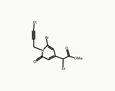 CCC#CCn1c(Br)cc(C(CC)C(=O)OC)cc1=O